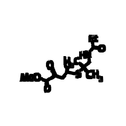 CCC(=O)NCC(C)(C)SC(=O)CC(=O)C(=O)OC